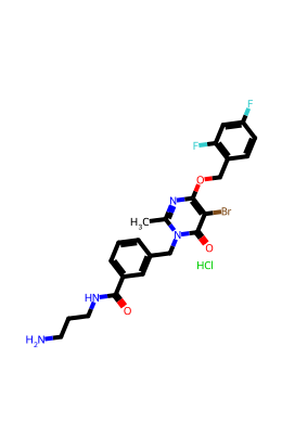 Cc1nc(OCc2ccc(F)cc2F)c(Br)c(=O)n1Cc1cccc(C(=O)NCCCN)c1.Cl